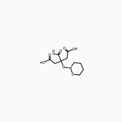 O=C(O)CC(CC(=O)O)([O][Al]1[CH2]CCC[O]1)C(=O)O